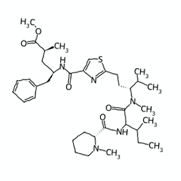 CCC(C)C(NC(=O)[C@H]1CCCCN1C)C(=O)N(C)[C@H](CCc1nc(C(=O)N[C@@H](Cc2ccccc2)C[C@H](C)C(=O)OC)cs1)C(C)C